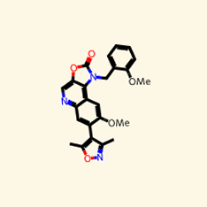 COc1ccccc1Cn1c(=O)oc2cnc3cc(-c4c(C)noc4C)c(OC)cc3c21